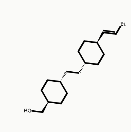 CC/C=C/[C@H]1CC[C@H](CC[C@H]2CC[C@H](CO)CC2)CC1